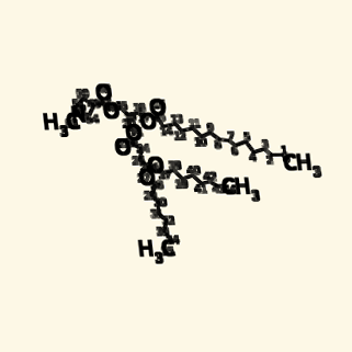 CCCCCCCCCCCCCCCC(=O)OCC(COC(=O)CCC(OCCCCCCCC)OCCCCCCCC)COC(=O)C1CCN(C)C1